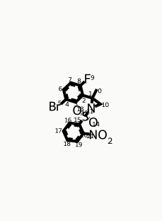 CC1(c2cc(Br)ccc2F)CN1S(=O)(=O)c1ccccc1[N+](=O)[O-]